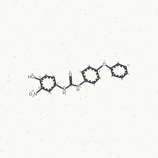 O=C(Nc1ccc(Oc2ccccc2)cc1)Nc1ccc(O)c([N+](=O)[O-])c1